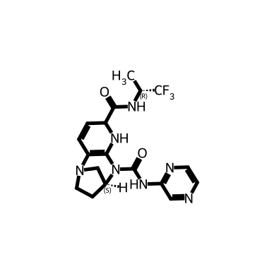 C[C@@H](NC(=O)C1C=CC2=C(N1)N(C(=O)Nc1cnccn1)[C@H]1CCN2C1)C(F)(F)F